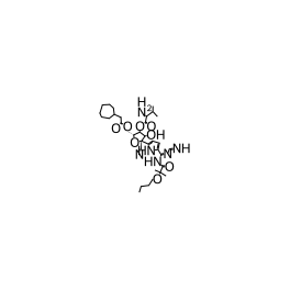 CCCCOC(C)(C)C(=O)N/C(=N/C=N)c1ccc([C@]2(C#N)O[C@H](COC(=O)CC3CCCCCC3)[C@@H](OC(=O)[C@@H](N)C(C)C)[C@H]2O)[nH]1